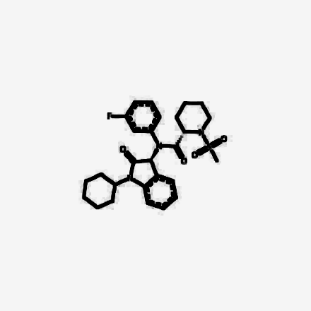 CS(=O)(=O)N1CCCC[C@H]1C(=O)N(c1cccc(F)c1)[C@@H]1C(=O)N(C2CCCCC2)c2ccccc21